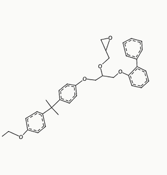 CC(C)(c1ccc(OCC(COc2ccccc2-c2ccccc2)OCC2CO2)cc1)c1ccc(OCC2CO2)cc1